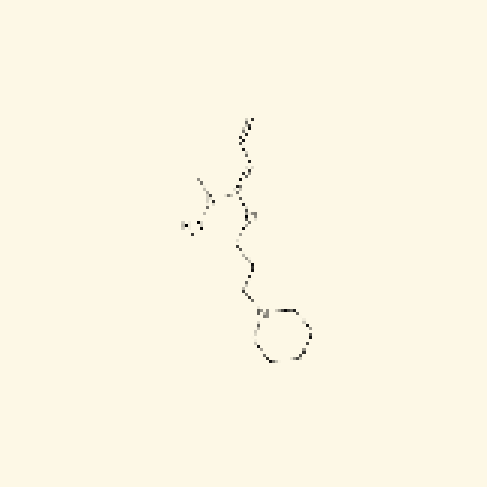 C=C/C=C(/OCCCN1CCCCC1)N(C)N